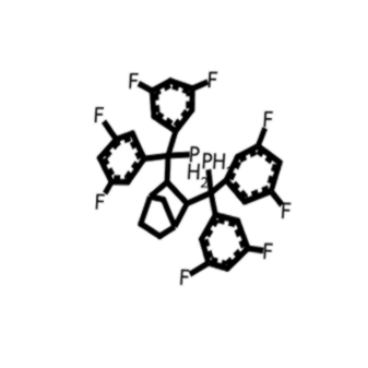 Fc1cc(F)cc(C(P)(c2cc(F)cc(F)c2)C2C3CCC(C3)C2C(P)(c2cc(F)cc(F)c2)c2cc(F)cc(F)c2)c1